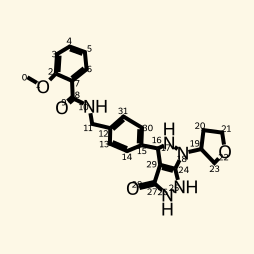 COc1ccccc1C(=O)NCc1ccc(C2NN(C3CCOC3)c3[nH][nH]c(=O)c32)cc1